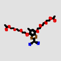 CC(=O)OCCOCCOCCOc1cc(C)c(OCCOCCOCCOC(C)=O)c2c1SC(=C(C#N)C#N)S2